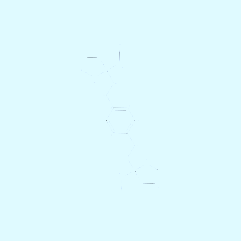 CCO[Si](CCc1ccc(CC[Si](OCC)(OCC)OCC)cc1)(OCC)OCC